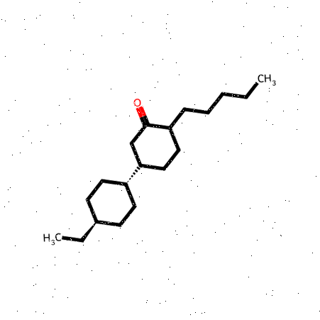 CCCCCC1CCC([C@H]2CC[C@H](CC)CC2)CC1=O